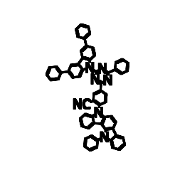 N#Cc1cc(-c2nc(-c3ccccc3)nc(-n3c4ccc(-c5ccccc5)cc4c4cc(-c5ccccc5)ccc43)n2)ccc1-n1c2ccccc2c2c1ccc1c3ccccc3n(-c3ccccc3)c12